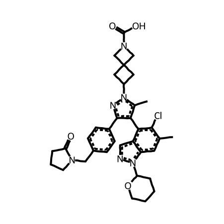 Cc1cc2c(cnn2C2CCCCO2)c(-c2c(-c3ccc(CN4CCCC4=O)cc3)nn(C3CC4(C3)CN(C(=O)O)C4)c2C)c1Cl